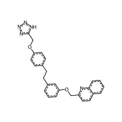 c1cc(CCc2ccc(OCc3nnn[nH]3)cc2)cc(OCc2ccc3ccccc3n2)c1